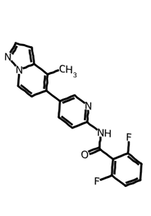 Cc1c(-c2ccc(NC(=O)c3c(F)cccc3F)nc2)ccn2nccc12